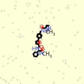 CNC(=O)[C@@H](NC(=O)c1ccc(-c2ccc(CNC(=O)c3ccnn3C)cc2)o1)C1CCCCC1